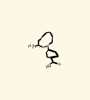 N/C1=N/N(c2ccc(C(=O)O)cc2)C/C=C\C=C/C1